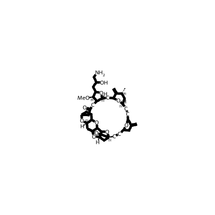 C=C1CC2CC[C@@]34C[C@H]5OC6C(OC7CCC(CC(=O)CC8[C@@H](OC)C(CC(O)CN)O[C@H]8CC8O[C@@H](CCC1O2)C[C@@H](C)C8=C)O[C@@H]7C6O3)C5O4